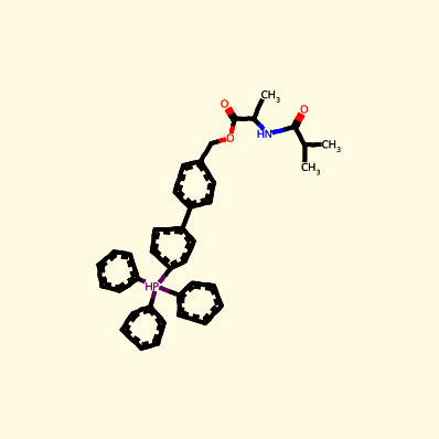 CC(C)C(=O)NC(C)C(=O)OCc1ccc(-c2ccc([PH](c3ccccc3)(c3ccccc3)c3ccccc3)cc2)cc1